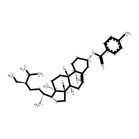 CC[C@H](CC[C@@H](C)[C@H]1CC[C@H]2[C@@H]3CC=C4C[C@@H](OC(=O)c5ccc(C)cc5)CC[C@]4(C)[C@H]3CC[C@]12C)C(C)C